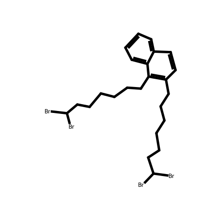 BrC(Br)CCCCCCc1ccc2ccccc2c1CCCCCCC(Br)Br